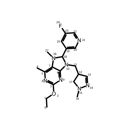 CCOc1nc(C)c2c(n1)N(CC1C=NN(C)C1)C(c1cncc(F)c1)N2C